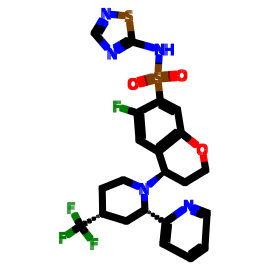 O=S(=O)(Nc1ncns1)c1cc2c(cc1F)[C@H](N1CC[C@@H](C(F)(F)F)C[C@H]1c1ccccn1)CCO2